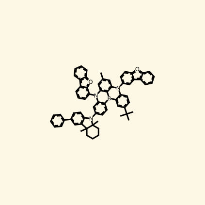 Cc1cc2c3c(c1)N(c1cccc4c1oc1ccccc14)c1cc(N4c5ccc(-c6ccccc6)cc5C5(C)CCCCC45C)ccc1B3c1cc(C(C)(C)C)ccc1N2c1ccc2oc3ccccc3c2c1